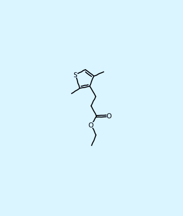 CCOC(=O)CCc1c(C)csc1C